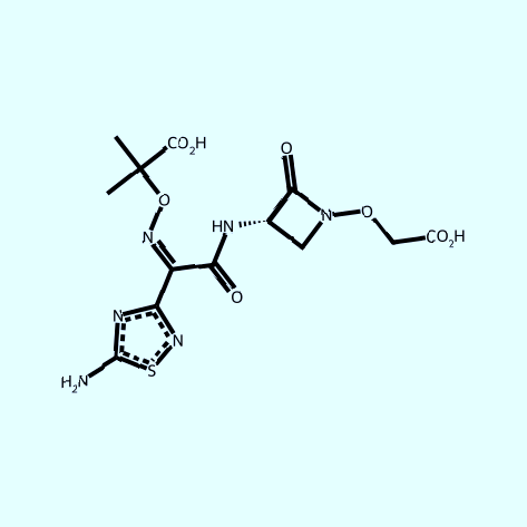 CC(C)(ON=C(C(=O)N[C@H]1CN(OCC(=O)O)C1=O)c1nsc(N)n1)C(=O)O